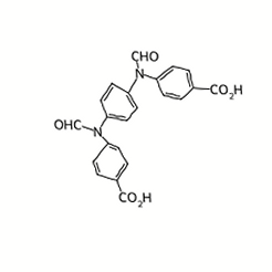 O=CN(c1ccc(C(=O)O)cc1)c1ccc(N(C=O)c2ccc(C(=O)O)cc2)cc1